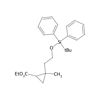 CCOC(=O)C1CC1(C)CCO[Si](c1ccccc1)(c1ccccc1)C(C)(C)C